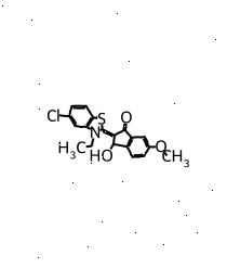 CCN1/C(=C2/C(=O)c3cc(OC)ccc3C2O)Sc2ccc(Cl)cc21